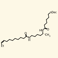 CC/C=C\CCCCCCCC(=O)NCCCC[C@@H](C)NC(=O)CCCCCCCCCCCCCCC